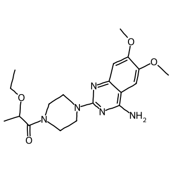 CCOC(C)C(=O)N1CCN(c2nc(N)c3cc(OC)c(OC)cc3n2)CC1